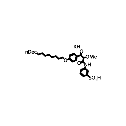 CCCCCCCCCCCCCCCCCCOc1ccc(C(=O)C(OC)C(=O)Nc2cccc(S(=O)(=O)O)c2)cc1.[KH]